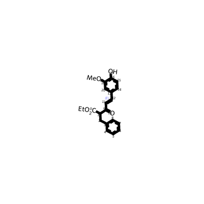 CCOC(=O)C(Cc1ccccc1)C(=O)/C=C/c1ccc(O)c(OC)c1